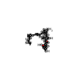 N#C[C@@H]1CC(F)(F)CN1C(=O)CNC(=O)c1ccnc2ccc(OCCCN3CCN(C(=O)CCC(=O)N[C@@H](CC(=O)O)C(=O)N[C@@H](CCCCN)C(=O)N[C@@H](CC(=O)O)C(=O)N[C@@H](CSC4CC(=O)N(c5ccc6c(c5)C(=O)OC65c6ccc(O)cc6Oc6cc(O)ccc65)C4=O)C(=O)O)CC3)cc12